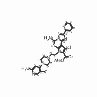 COC(=O)c1c(Cl)c2c(nc(N)n3nc(-c4ccccn4)nc23)n1CCN1CCN(c2cc(C)ncc2F)CC1